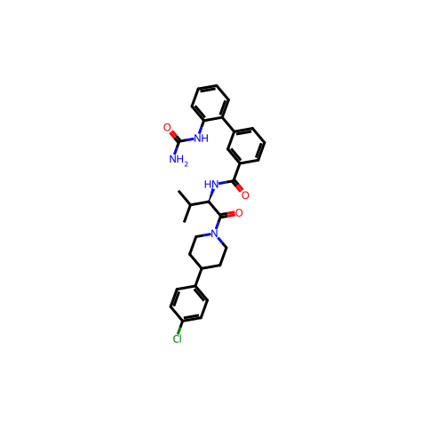 CC(C)[C@@H](NC(=O)c1cccc(-c2ccccc2NC(N)=O)c1)C(=O)N1CCC(c2ccc(Cl)cc2)CC1